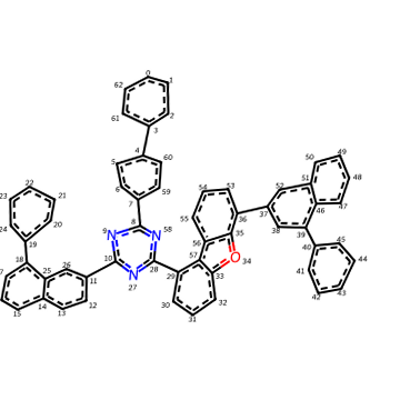 c1ccc(-c2ccc(-c3nc(-c4ccc5cccc(-c6ccccc6)c5c4)nc(-c4cccc5oc6c(-c7cc(-c8ccccc8)c8ccccc8c7)cccc6c45)n3)cc2)cc1